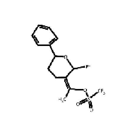 CC(OS(=O)(=O)C(F)(F)F)=C1CCC(c2ccccc2)OC1C(C)C